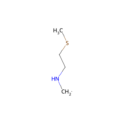 [CH2]NCCSC